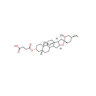 C[C@H]1CC[C@@]2(OC1)O[C@H]1CC3C4CC[C@@H]5C[C@H](OC(=O)CCC(=O)O)CC[C@]5(C)C4CC[C@]3(C)[C@H]1[C@@H]2C